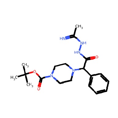 CC(=N)NNC(=O)C(c1ccccc1)N1CCN(C(=O)OC(C)(C)C)CC1